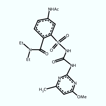 CCN(CC)C(=O)c1ccc(NC(C)=O)cc1S(=O)(=O)NC(=O)Nc1nc(C)cc(OC)n1